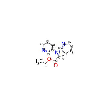 CCOC(=O)c1cc2cccnc2n1-c1cccnc1